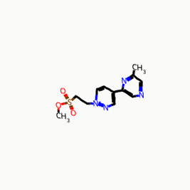 COS(=O)(=O)CC[n+]1ccc(-c2cncc(C)n2)cn1